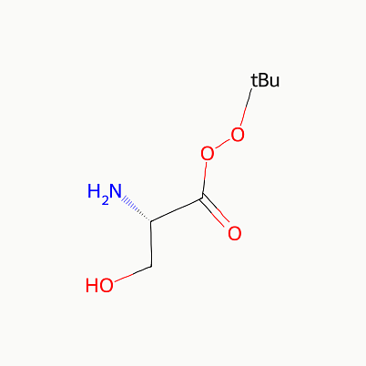 CC(C)(C)OOC(=O)[C@@H](N)CO